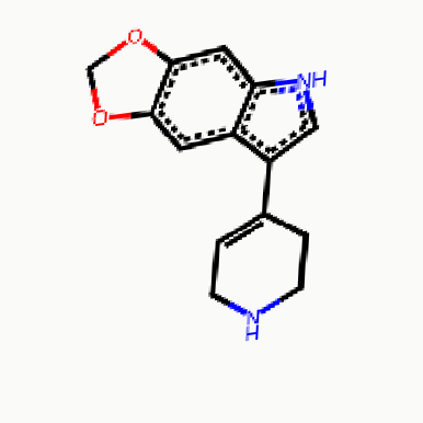 C1=C(c2c[nH]c3cc4c(cc23)OCO4)CCNC1